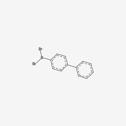 BrB(Br)c1ccc(-c2ccccc2)cc1